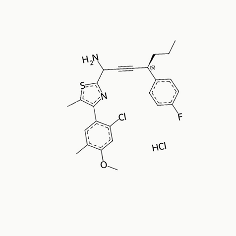 CCC[C@H](C#CC(N)c1nc(-c2cc(C)c(OC)cc2Cl)c(C)s1)c1ccc(F)cc1.Cl